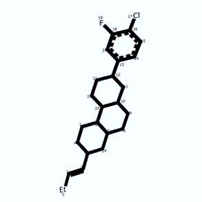 CC/C=C/C1CCC2C(CCC3CC(c4ccc(Cl)c(F)c4)CCC32)C1